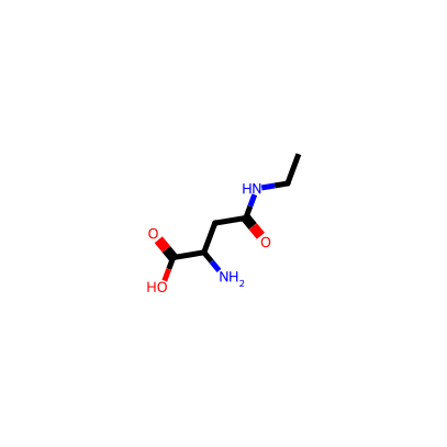 CCNC(=O)CC(N)C(=O)O